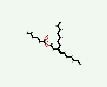 CCCCCC/C=C(\CCCCCCC)CCOC(=O)CCCCC